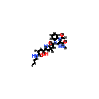 CCCCNC(=O)[C@H](C)C[C@H](O)[C@@H](N)CC(C)(C)CC(=O)N1C[C@H](C(=O)NC)N(C(C)=O)c2ccccc21